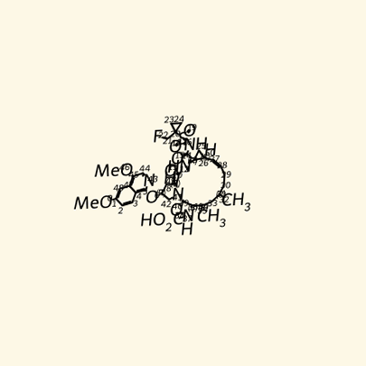 COc1ccc2c(O[C@@H]3C[C@H]4C(=O)N[C@]5(C(=O)NS(=O)(=O)C6(CF)CC6)C[C@H]5C=CCC[C@@H](C)C[C@@H](C)[C@H](NC(=O)O)C(=O)N4C3)ncc(OC)c2c1